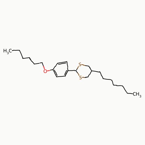 CCCCCCCC1CSC(c2ccc(OCCCCCC)cc2)SC1